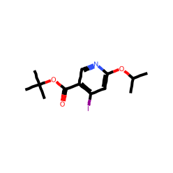 CC(C)Oc1cc(I)c(C(=O)OC(C)(C)C)cn1